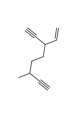 C#CC(C)CCC(C#C)C=C